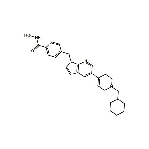 O=C(NO)c1ccc(Cn2ccc3cc(C4=CCN(CC5CCCCC5)CC4)cnc32)cc1